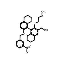 COCCOc1c(CO)cc2c(c1-c1c(OCc3cccc([N+](=O)[O-])c3)ccc3c1CCCC3)CCCC2